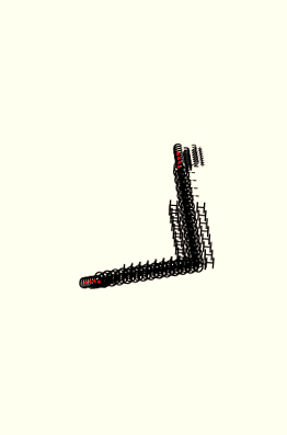 O=P(O)(O)O.O=P(O)(O)O.O=P(O)(O)O.O=P(O)(O)O.O=P(O)(O)O.O=P(O)(O)O.O=P(O)(O)O.O=P(O)(O)O.O=P(O)(O)O.O=P(O)(O)O.O=P(O)(O)O.O=P(O)(O)O.O=P(O)(O)O.O=P(O)(O)O.O=P(O)(O)O.O=P([O-])([O-])[O-].O=P([O-])([O-])[O-].O=P([O-])([O-])[O-].O=P([O-])([O-])[O-].O=P([O-])([O-])[O-].O=P([O-])([O-])[O-].O=P([O-])([O-])[O-].O=P([O-])([O-])[O-].O=P([O-])([O-])[O-].O=P([O-])([O-])[O-].[Ca+2].[Ca+2].[Ca+2].[Ca+2].[Ca+2].[Ca+2].[Ca+2].[Ca+2].[Ca+2].[Ca+2].[Ca+2].[Ca+2].[Ca+2].[Ca+2].[Ca+2]